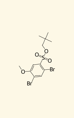 COc1cc(S(=O)(=O)OCC(C)(C)C)c(Br)cc1Br